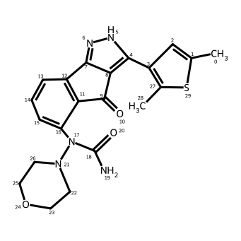 Cc1cc(-c2[nH]nc3c2C(=O)c2c-3cccc2N(C(N)=O)N2CCOCC2)c(C)s1